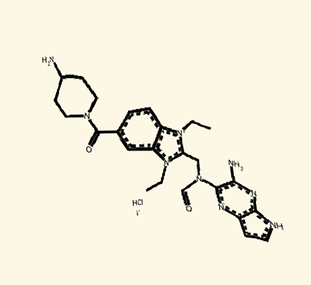 CCn1c(CN(C=O)c2nc3cc[nH]c3nc2N)[n+](CC)c2ccc(C(=O)N3CCC(N)CC3)cc21.Cl.[I-]